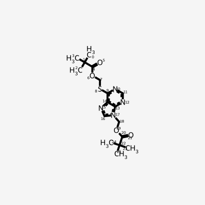 CC(C)(C)C(=O)OCSc1ncnc2c1ncn2COC(=O)C(C)(C)C